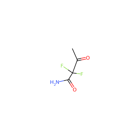 CC(=O)C(F)(F)C(N)=O